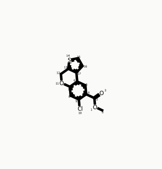 COC(=O)c1cc2c(cc1Cl)OCc1sccc1-2